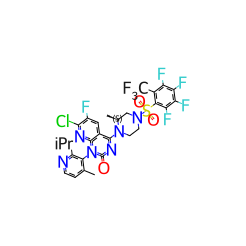 Cc1ccnc(C(C)C)c1-n1c(=O)nc(N2CCN(S(=O)(=O)c3c(F)c(F)c(F)c(F)c3C(F)(F)F)C[C@@H]2C)c2cc(F)c(Cl)nc21